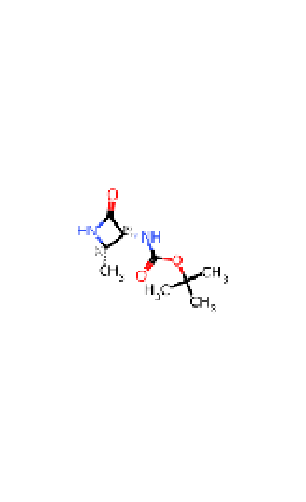 C[C@@H]1NC(=O)[C@@H]1NC(=O)OC(C)(C)C